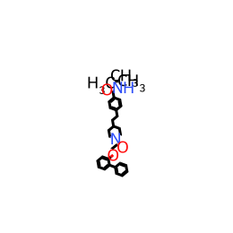 CC(C)(C)NC(=O)c1ccc(CCC2CCN(C(=O)COc3ccccc3-c3ccccc3)CC2)cc1